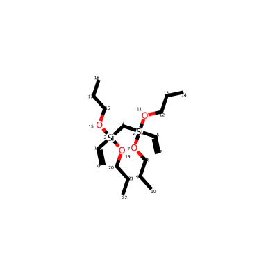 C=C[Si](C[Si](C=C)(OCCC)OCCC)(OCCC)OCCC